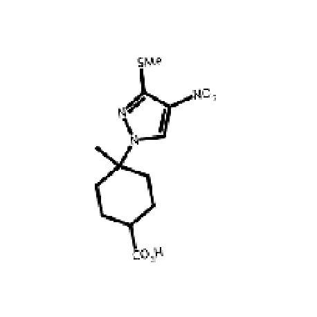 CSc1nn(C2(C)CCC(C(=O)O)CC2)cc1[N+](=O)[O-]